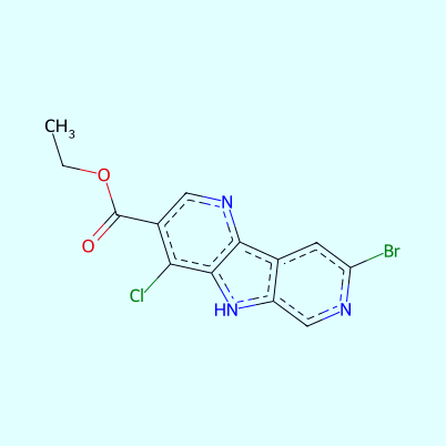 CCOC(=O)c1cnc2c([nH]c3cnc(Br)cc32)c1Cl